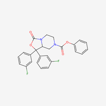 O=C(Oc1ccccc1)N1CCN2C(=O)OC(c3cccc(F)c3)(c3cccc(F)c3)C2C1